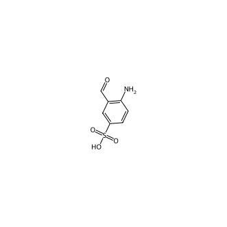 Nc1ccc(S(=O)(=O)O)cc1C=O